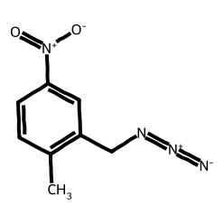 Cc1ccc([N+](=O)[O-])cc1CN=[N+]=[N-]